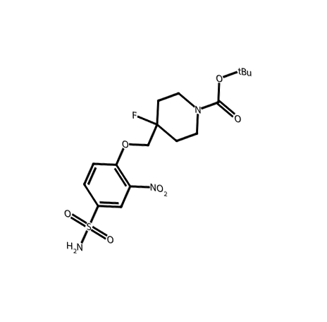 CC(C)(C)OC(=O)N1CCC(F)(COc2ccc(S(N)(=O)=O)cc2[N+](=O)[O-])CC1